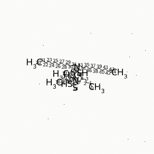 CCCCC(CC)CN(CC(CC)CCCC)C(=S)S.CCCCCCCCCCCCN(CCCCCCCCCCCC)C(=S)S